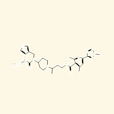 CONC(=O)N(Cc1ccsc1)C1CCN(C(C)CCNC(=O)c2c(C)cc(-c3nnn(C)n3)nc2C)CC1